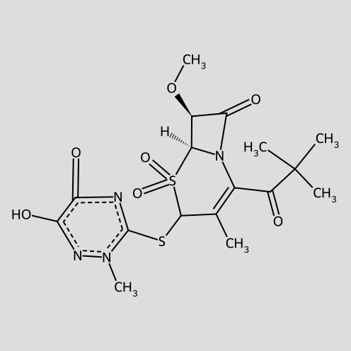 CO[C@H]1C(=O)N2C(C(=O)C(C)(C)C)=C(C)C(Sc3nc(=O)c(O)nn3C)S(=O)(=O)[C@@H]12